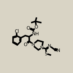 CS/C(=N\C#N)N1CCN(C(=O)C(Cc2ccccc2Cl)NC(=O)OC(C)(C)C)CC1